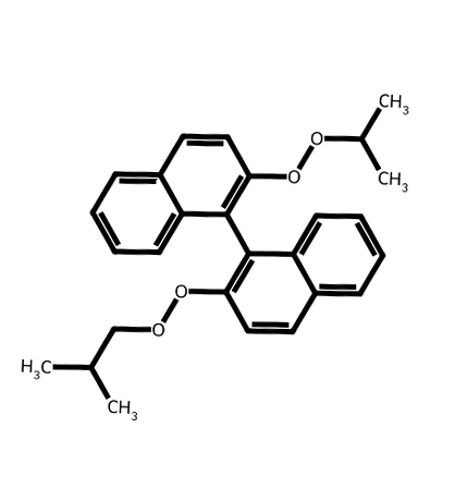 CC(C)COOc1ccc2ccccc2c1-c1c(OOC(C)C)ccc2ccccc12